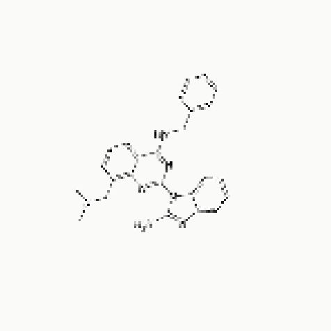 CN(C)Cc1cccc2c(NCc3ccccc3)nc(-n3c(N)nc4ccccc43)nc12